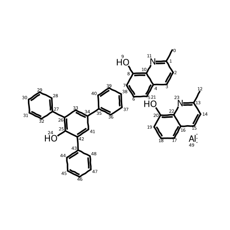 Cc1ccc2cccc(O)c2n1.Cc1ccc2cccc(O)c2n1.Oc1c(-c2ccccc2)cc(-c2ccccc2)cc1-c1ccccc1.[Al]